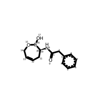 O=C(Cc1ccccc1)N[C@H]1CC=CCOB1O